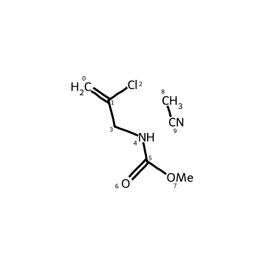 C=C(Cl)CNC(=O)OC.CC#N